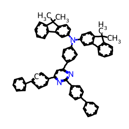 CC1(C)c2ccccc2-c2cc(N(c3ccc(-c4cc(-c5ccc(-c6ccccc6)cc5)nc(-c5ccc(-c6ccccc6)cc5)n4)cc3)c3ccc4c(c3)-c3ccccc3C4(C)C)ccc21